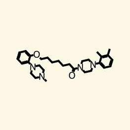 Cc1cccc(N2CCN(C(=O)CCCCCCOc3ccccc3N3CCN(C)CC3)CC2)c1C